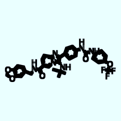 CC(C)(C)Nc1c(-c2ccc(NC(=O)Nc3ccc(OC(F)(F)F)cc3)cc2)nc2ccc(C(=O)NCc3ccc4c(c3)OCO4)cn12